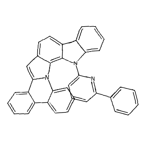 c1ccc(-c2cccc(-n3c4ccccc4c4ccc5cc6c7ccccc7c7ccccc7n6c5c43)n2)cc1